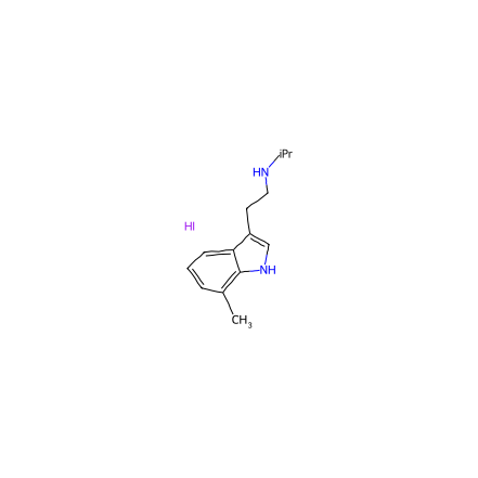 Cc1cccc2c(CCNC(C)C)c[nH]c12.I